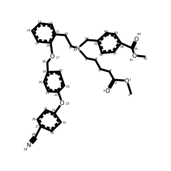 COC(=O)CCCCN(CCc1ccccc1OCc1ccc(Oc2ccc(C#N)cc2)cc1)Cc1ccc(C(=O)OC)cc1